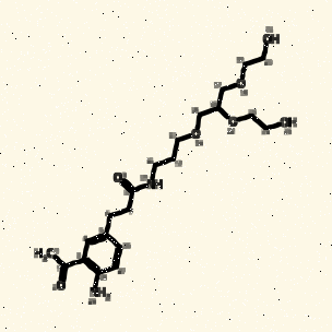 CC(=O)c1cc(CCC(=O)NCCCOCC(COCCO)OCCO)ccc1N